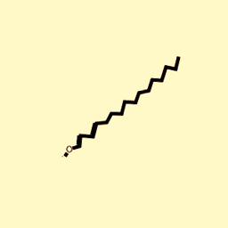 [CH2]OC=CC=CCCCCCCCCCCCC